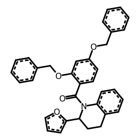 O=C(c1ccc(OCc2ccccc2)cc1OCc1ccccc1)N1c2ccccc2CCC1c1ccco1